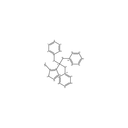 [Ti][C]1=C(C(Cc2ccccc2)(Cc2ccccc2)Cc2ccccc2)C=CC1